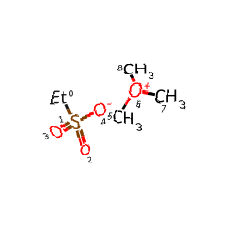 CCS(=O)(=O)[O-].C[O+](C)C